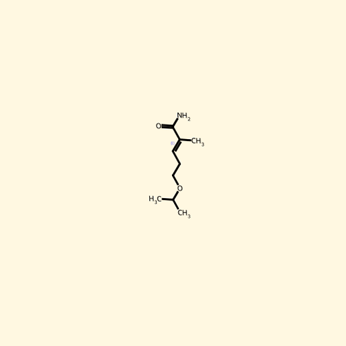 C/C(=C\CCOC(C)C)C(N)=O